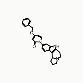 O=c1cc(OCc2ccccc2)ccn1-c1ccc2c3c([nH]c2c1)CCN1CCCC31